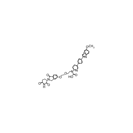 COc1ccc2nc(-c3ccc(-c4ccc(N(CCOCCOc5ccc6c(c5)CN(C5CCC(=O)NC5=O)C6=O)C(=O)O)nc4)cc3)cn2c1